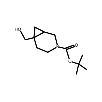 CC(C)(C)OC(=O)N1CCC2(CO)CC2C1